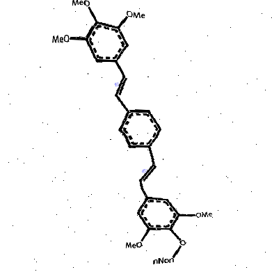 CCCCCCCCCOc1c(OC)cc(/C=C/c2ccc(/C=C/c3cc(OC)c(OC)c(OC)c3)cc2)cc1OC